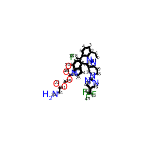 CCc1cccc(CC)c1-n1nc2c(c1-c1cc(F)c(OC)c3c1ccn3C(=O)OCOC(=O)CN)CN(c1ncc(C(F)(F)F)cn1)CC2